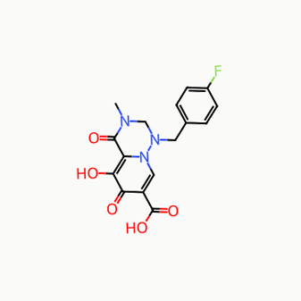 CN1CN(Cc2ccc(F)cc2)n2cc(C(=O)O)c(=O)c(O)c2C1=O